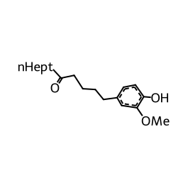 CCCCCCCC(=O)CCCCc1ccc(O)c(OC)c1